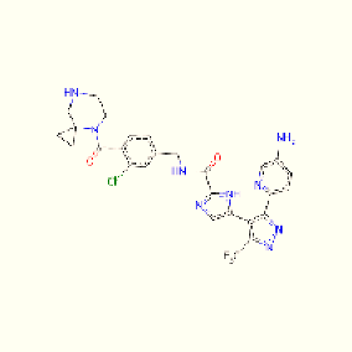 Nc1ccc(-c2[nH]nc(C(F)(F)F)c2-c2cnc(C(=O)NCc3ccc(C(=O)N4CCNCC45CC5)c(Cl)c3)[nH]2)nc1